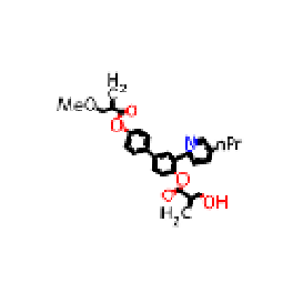 C=C(COC)C(=O)Oc1ccc(-c2ccc(OC(=O)C(=C)CO)c(-c3ccc(CCC)cn3)c2)cc1